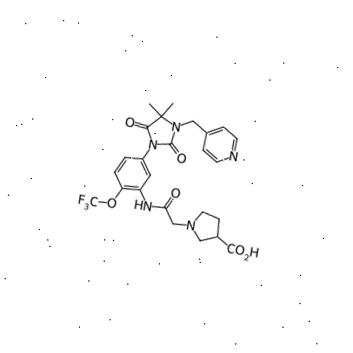 CC1(C)C(=O)N(c2ccc(OC(F)(F)F)c(NC(=O)CN3CCC(C(=O)O)C3)c2)C(=O)N1Cc1ccncc1